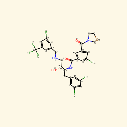 O=C(N[C@@H](Cc1cc(F)cc(F)c1)[C@H](O)CNCc1cc(F)cc(C(F)(F)F)c1)c1cc(Cl)cc(C(=O)N2CCSC2)c1